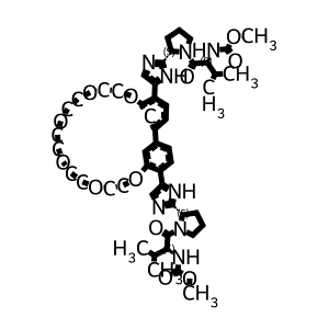 COC(=O)N[C@H](C(=O)N1CCC[C@H]1c1ncc(-c2ccc3cc2OCCOCCOCCOCCOCCOc2cc-3ccc2-c2cnc([C@@H]3CCCN3C(=O)[C@@H](NC(=O)OC)C(C)C)[nH]2)[nH]1)C(C)C